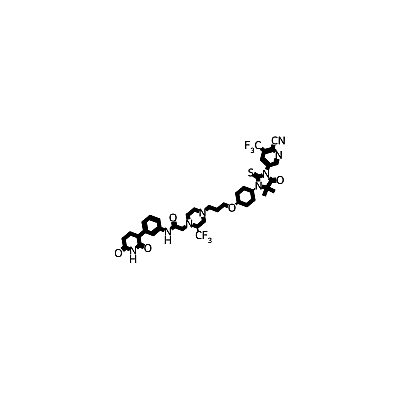 CC1(C)C(=O)N(c2cnc(C#N)c(C(F)(F)F)c2)C(=S)N1[C@H]1CC[C@H](OCCCN2CCN(CC(=O)Nc3cccc(C4CCC(=O)NC4=O)c3)[C@@H](C(F)(F)F)C2)CC1